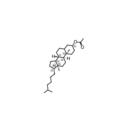 CC(=O)O[C@H]1CC[C@@]2(C)C(CC[C@H]3[C@@H]4CC[C@H](CCCCC(C)C)[C@@]4(C)CC[C@@H]32)C1